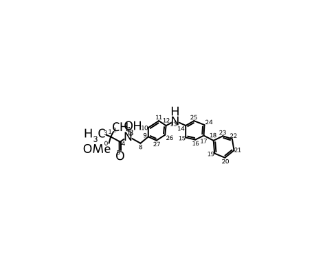 COC(C)(C)C(=O)N(O)Cc1ccc(Nc2ccc(-c3ccccc3)cc2)cc1